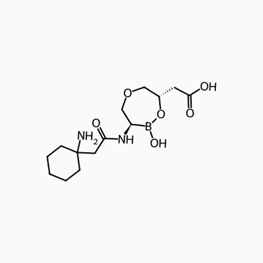 NC1(CC(=O)N[C@H]2COC[C@H](CC(=O)O)OB2O)CCCCC1